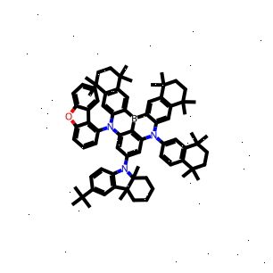 CC(C)(C)c1ccc2c(c1)C1(C)CCCCC1(C)N2c1cc2c3c(c1)N(c1cccc4oc5ccccc5c14)c1cc4c(cc1B3c1cc3c(cc1N2c1ccc2c(c1)C(C)(C)CCC2(C)C)C(C)(C)CCC3(C)C)C(C)(C)CCC4(C)C